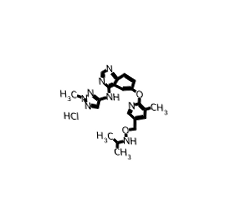 Cc1cc(CONC(C)C)cnc1Oc1ccc2ncnc(Nc3cnn(C)n3)c2c1.Cl